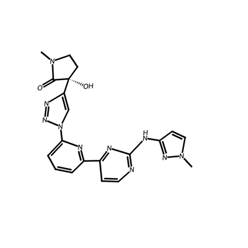 CN1CC[C@@](O)(c2cn(-c3cccc(-c4ccnc(Nc5ccn(C)n5)n4)n3)nn2)C1=O